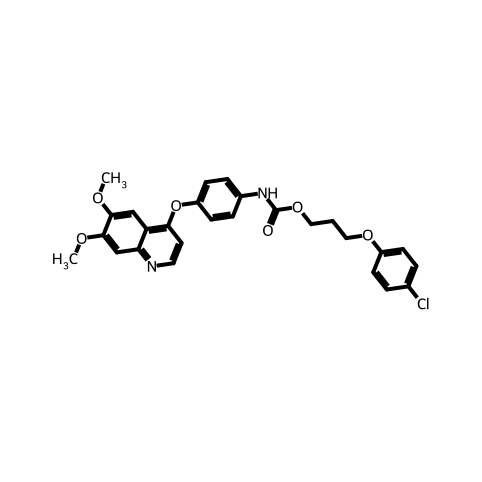 COc1cc2nccc(Oc3ccc(NC(=O)OCCCOc4ccc(Cl)cc4)cc3)c2cc1OC